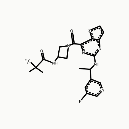 CC(Nc1nc(C(=O)N2CC(NC(=O)C(C)(C)C(F)(F)F)C2)c2sccc2n1)c1cncc(F)c1